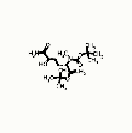 C=C(OC(C)(C)C)[C@H](CCC(O)C(N)=O)N(C)C(=O)OC(C)(C)C